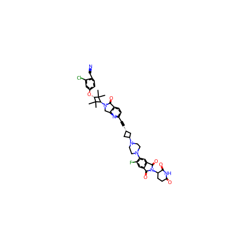 CC1(C)[C@H](Oc2ccc(C#N)c(Cl)c2)C(C)(C)[C@H]1N1Cc2nc(C#C[C@H]3C[C@H](N4CCN(c5cc6c(cc5F)C(=O)N(C5CCC(=O)NC5=O)C6=O)CC4)C3)ccc2C1=O